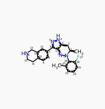 C=C1C=c2[nH]nc(-c3ccc4c(c3)CNCC4)c2=NN1c1c(C)cccc1F